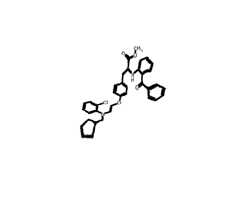 COC(=O)C(Cc1ccc(OCCN(CC2CCCC2)c2ccccc2Cl)cc1)Nc1ccccc1C(=O)c1ccccc1